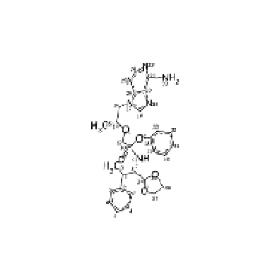 CC(c1ccccc1)[C@H](NP(=O)(CO[C@H](C)Cn1cnc2c(N)ncnc21)Oc1ccccc1)C1OCCO1